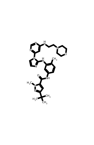 Cc1ccc(NC(=O)c2cc(C(C)(C)C)nn2C)cc1Nc1nccn1-c1cc(NCCN2CCOCC2)ncn1